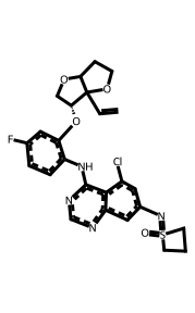 C=CC12OCCC1OC[C@H]2Oc1cc(F)ccc1Nc1ncnc2cc(N=S3(=O)CCC3)cc(Cl)c12